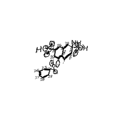 NC1(S(=O)(=O)O)C=CC2=C(OS(=O)(=O)c3ccccc3)CC(S(=O)(=O)O)=CC2=C1